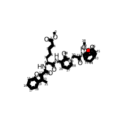 COC(=O)/C=C/CC[C@H](NC(=O)c1oc2ccccc2c1C)C(=O)Nc1cccn(CC(=O)NC2(C(=O)OC)C3CC4CC(C3)C2C4)c1=O